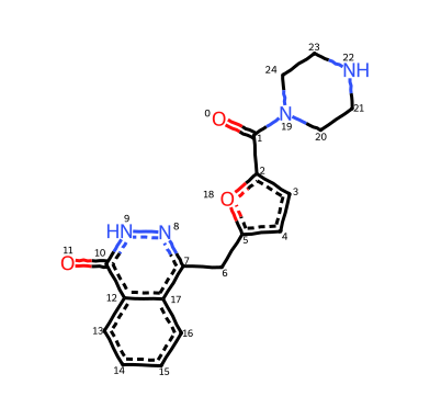 O=C(c1ccc(Cc2n[nH]c(=O)c3ccccc23)o1)N1CCNCC1